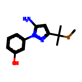 CSC(C)(C)c1cc(N)n(-c2cccc(O)c2)n1